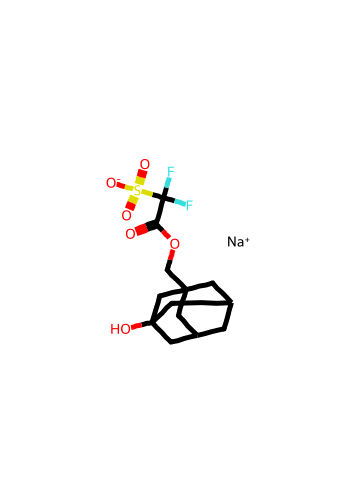 O=C(OCC12CC3CC(CC(O)(C3)C1)C2)C(F)(F)S(=O)(=O)[O-].[Na+]